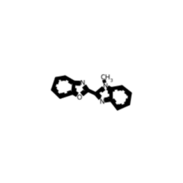 Cn1c(-c2nc3ccccc3o2)nc2ccccc21